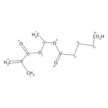 C=C(C)C(=O)OC(C)OC(=O)CCCC(=O)O